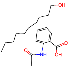 CC(=O)Nc1ccccc1C(=O)O.CCCCCCCCCCO